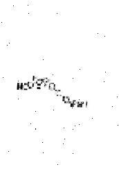 CCCCCC1CCC(C2CCC(C3CCC(C(F)(F)Oc4cc(F)c(-c5ccc(C#N)cc5)c(F)c4)CC3)CC2)CC1